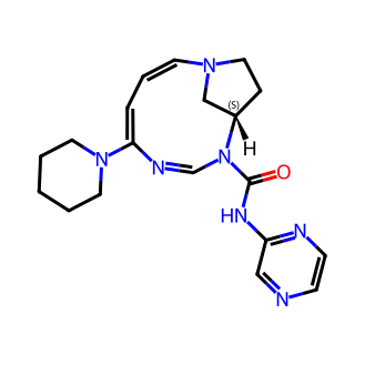 O=C(Nc1cnccn1)N1C=NC(N2CCCCC2)=CC=CN2CC[C@H]1C2